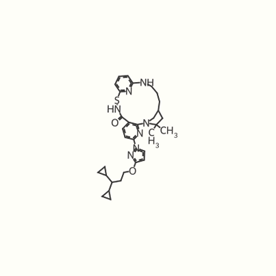 CC1(C)CC2CCCNc3cccc(n3)SNC(=O)c3ccc(-n4ccc(OCCC(C5CC5)C5CC5)n4)nc3N1C2